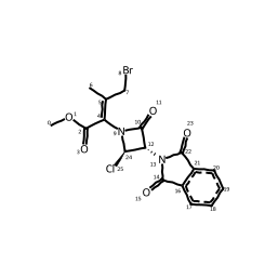 COC(=O)/C(=C(\C)CBr)N1C(=O)[C@H](N2C(=O)c3ccccc3C2=O)[C@H]1Cl